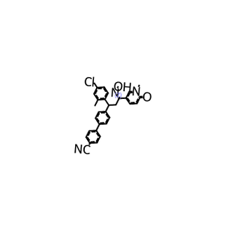 Cc1cc(Cl)ccc1C(C/C(=N/O)c1ccc(=O)n(C)c1)c1ccc(-c2ccc(C#N)cc2)cc1